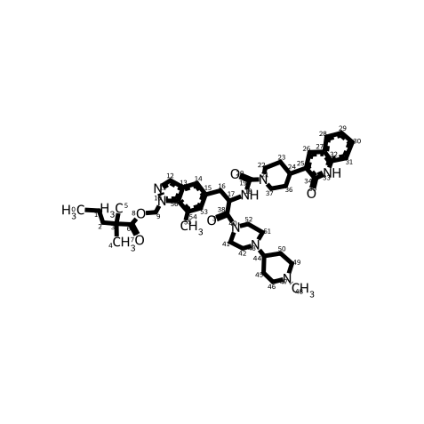 CCCC(C)(C)C(=O)OCn1ncc2cc(CC(NC(=O)N3CCC(c4cc5ccccc5[nH]c4=O)CC3)C(=O)N3CCN(C4CCN(C)CC4)CC3)cc(C)c21